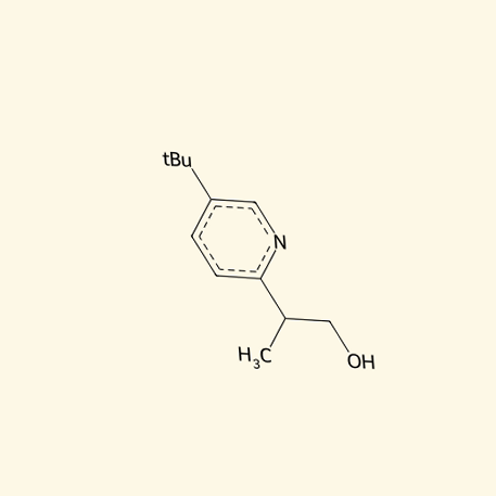 CC(CO)c1ccc(C(C)(C)C)cn1